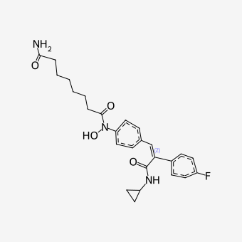 NC(=O)CCCCCCC(=O)N(O)c1ccc(/C=C(\C(=O)NC2CC2)c2ccc(F)cc2)cc1